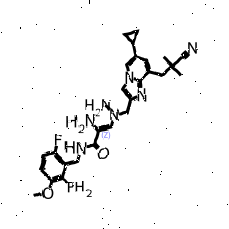 COc1ccc(F)c(CNC(=O)/C(N)=C/N(N)Cc2cn3cc(C4CC4)cc(CC(C)(C)C#N)c3n2)c1P